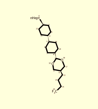 CCCCCCC[C@H]1CC[C@H](C2CCC([C@H]3OC[C@H](CCCC(F)(F)F)CO3)CC2)CC1